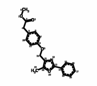 COC(=O)Cc1ccc(OCc2nc(-c3ccccc3)oc2C)cc1